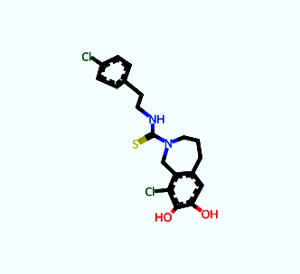 Oc1cc2c(c(Cl)c1O)CN(C(=S)NCCc1ccc(Cl)cc1)CCC2